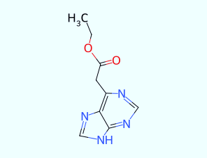 CCOC(=O)Cc1ncnc2[nH]cnc12